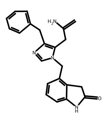 C=C(N)Cc1c(Cc2ccccc2)ncn1Cc1cccc2c1CC(=O)N2